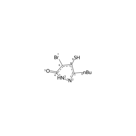 CCCCc1n[nH]c(=O)c(Br)c1S